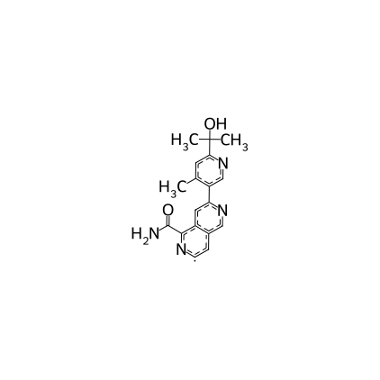 Cc1cc(C(C)(C)O)ncc1-c1cc2c(C(N)=O)n[c]cc2cn1